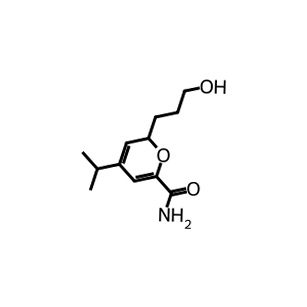 CC(C)C1=CC(CCCO)OC(C(N)=O)=C1